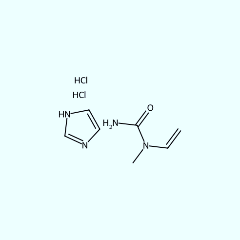 C=CN(C)C(N)=O.Cl.Cl.c1c[nH]cn1